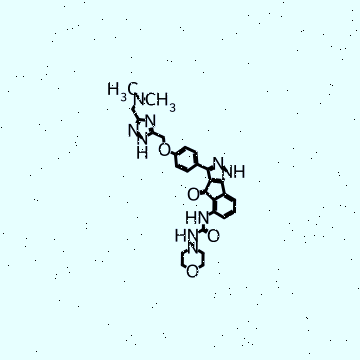 CN(C)Cc1n[nH]c(COc2ccc(-c3n[nH]c4c3C(=O)c3c(NC(=O)NN5CCOCC5)cccc3-4)cc2)n1